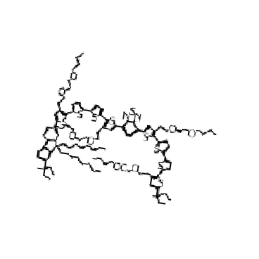 CCCCCCCCC1(CCCCCCCC)c2cc(-c3cc(CCOCCOCCCC)c(-c4ccc(-c5ccc(-c6sc(-c7ccc(-c8cc(CCOCCOCCCC)c(-c9ccc(-c%10ccc(-c%11sc(C(C)(CC)CC)cc%11CCOCCOCCCC)s%10)s9)s8)c8nsnc78)cc6CCOCCOCCCC)s5)s4)s3)ccc2-c2ccc(C(C)(CC)CC)cc21